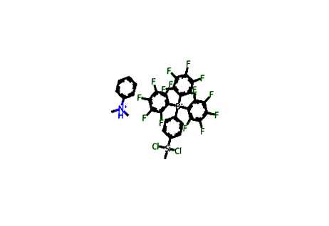 C[NH+](C)c1ccccc1.C[Si](Cl)(Cl)c1ccc([B-](c2c(F)c(F)c(F)c(F)c2F)(c2c(F)c(F)c(F)c(F)c2F)c2c(F)c(F)c(F)c(F)c2F)cc1